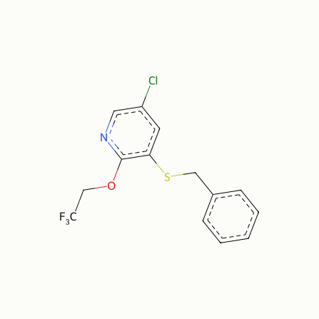 FC(F)(F)COc1ncc(Cl)cc1SCc1ccccc1